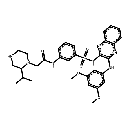 COc1cc(Nc2nc3ccccc3nc2NS(=O)(=O)c2cccc(NC(=O)CN3CCNCC3C(C)C)c2)cc(OC)c1